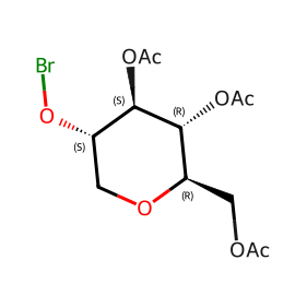 CC(=O)OC[C@H]1OC[C@H](OBr)[C@@H](OC(C)=O)[C@@H]1OC(C)=O